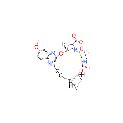 COC(=O)[C@@H]1C[C@@H]2CN1C(=O)[C@H](C(C)(C)C)NC(=O)O[C@@H]1CC3C[C@@H]3[C@H]1CCCCCc1nc3ccc(OC)cc3nc1O2